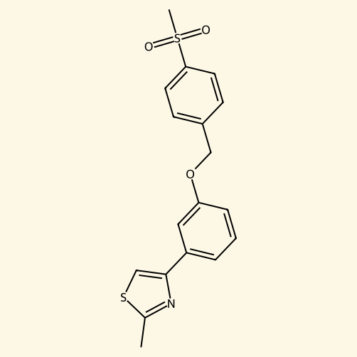 Cc1nc(-c2cccc(OCc3ccc(S(C)(=O)=O)cc3)c2)cs1